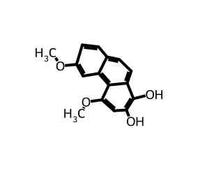 COc1ccc2ccc3c(O)c(O)cc(OC)c3c2c1